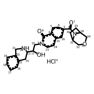 Cl.O=C(c1ccc2c(=O)n(CC(O)C3Cc4ccccc4CN3)ccc2c1)N1C2CCC1COC2